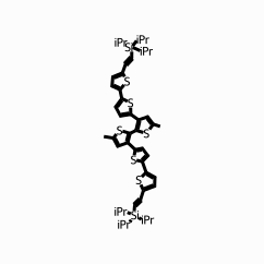 Cc1cc(-c2ccc(-c3ccc(C#C[Si](C(C)C)(C(C)C)C(C)C)s3)s2)c(-c2sc(C)cc2-c2ccc(-c3ccc(C#C[Si](C(C)C)(C(C)C)C(C)C)s3)s2)s1